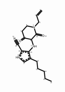 C=CCN1CCC(=O)C(Nc2c(CCCCC)c[nH]c2C#N)C1=O